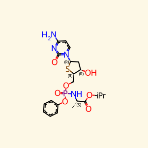 CC(C)OC(=O)[C@H](C)NP(=O)(OC[C@H]1S[C@@H](n2ccc(N)nc2=O)C[C@H]1O)Oc1ccccc1